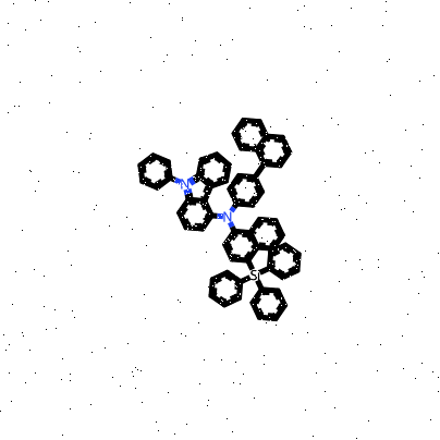 c1ccc(-n2c3ccccc3c3c(N(c4ccc(-c5cccc6ccccc56)cc4)c4ccc([Si](c5ccccc5)(c5ccccc5)c5ccccc5)c5ccccc45)cccc32)cc1